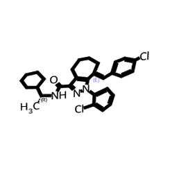 C[C@@H](NC(=O)c1nn(-c2ccccc2Cl)c2c1CCCC/C2=C\c1ccc(Cl)cc1)C1CCCCC1